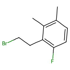 Cc1ccc(F)c(CCBr)c1C